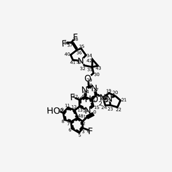 C#Cc1c(F)ccc2cc(O)cc(-c3ncc4c(N5CC6CCC(C5)N6C(=O)O)nc(OCC5(CN6CCC(=C(F)F)CC6)CC5)nc4c3F)c12